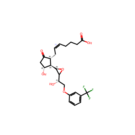 O=C(O)CCC/C=C\C[C@H]1C(=O)C[C@@H](O)[C@@H]1[C@H]1OC1[C@@H](O)COc1cccc(C(F)(F)F)c1